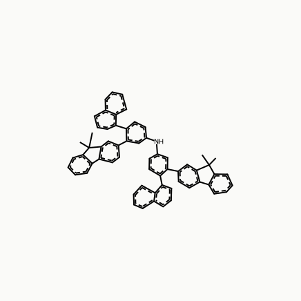 CC1(C)c2ccccc2-c2ccc(-c3cc(Nc4ccc(-c5cccc6ccccc56)c(-c5ccc6c(c5)C(C)(C)c5ccccc5-6)c4)ccc3-c3cccc4ccccc34)cc21